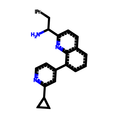 CC(C)CC(N)c1ccc2cccc(-c3ccnc(C4CC4)c3)c2n1